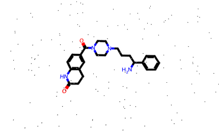 NC(CCCN1CCN(C(=O)c2ccc3c(c2)CCC(=O)N3)CC1)c1ccccc1